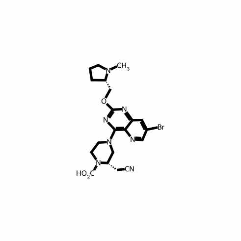 CN1CCC[C@H]1COc1nc(N2CCN(C(=O)O)[C@@H](CC#N)C2)c2ncc(Br)cc2n1